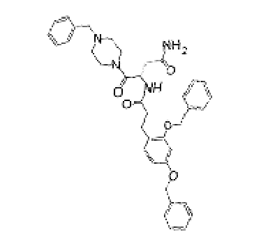 NC(=O)C[C@H](NC(=O)CCc1ccc(OCc2ccccc2)cc1OCc1ccccc1)C(=O)N1CCN(Cc2ccccc2)CC1